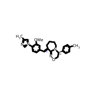 COc1cc(/C=C2\CCCCN3C2=NOC[C@@H]3c2ccc(C)cc2)ccc1-n1cnc(C)c1